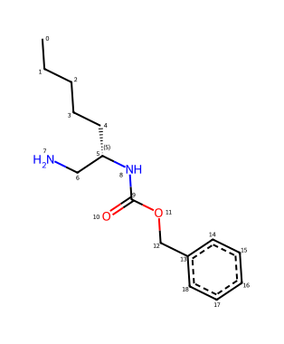 CCCCC[C@@H](CN)NC(=O)OCc1ccccc1